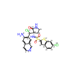 Nc1cc2ccncc2cc1C(Cl)[C@]1(NS(=O)(=O)c2cc3ccc(Cl)cc3s2)CCNC1=O